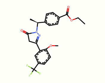 CCOC(=O)c1ccc([C@H](C)N2N=C(c3cc(C(F)(F)F)ccc3OC)CC2=O)cc1